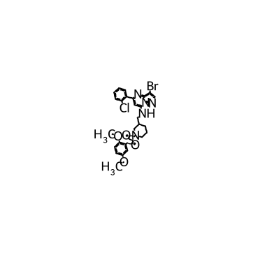 COc1ccc(OC)c(S(=O)(=O)N2CCCC(CNc3cc(-c4ccccc4Cl)nc4c(Br)cnn34)C2)c1